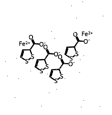 O=C([O-])C1C=CSS1.O=C([O-])C1C=CSS1.O=C([O-])C1C=CSS1.O=C([O-])C1C=CSS1.[Fe+2].[Fe+2]